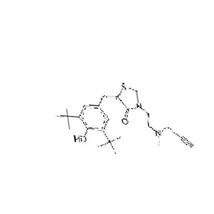 C#CCN(C)CCN1CSC(=Cc2cc(C(C)(C)C)c(O)c(C(C)(C)C)c2)C1=O